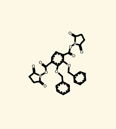 O=C(ON1C(=O)CCC1=O)c1ccc(C(=O)ON2C(=O)CCC2=O)c(OCc2ccccc2)c1OCc1ccccc1